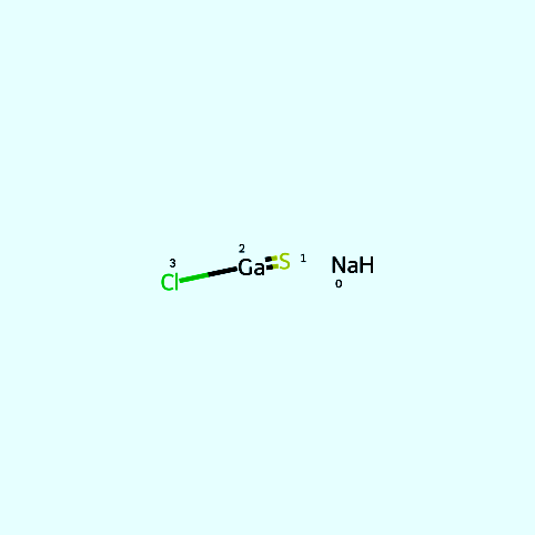 [NaH].[S]=[Ga][Cl]